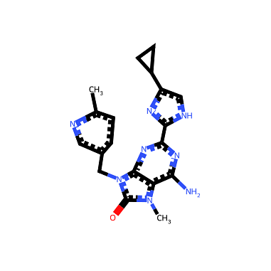 Cc1ccc(Cn2c(=O)n(C)c3c(N)nc(-c4nc(C5CC5)c[nH]4)nc32)cn1